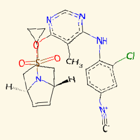 [C-]#[N+]c1ccc(Nc2ncnc(OC3C[C@@H]4C=C[C@@H](C3)N4S(=O)(=O)C3CC3)c2C)c(Cl)c1